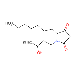 CCCCCCC(O)CCN1C(=O)CC(=O)C1CCCCCCC(=O)O